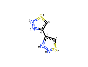 [c]1snnc1-c1csnn1